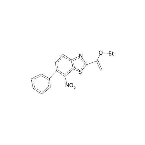 C=C(OCC)c1nc2ccc(-c3ccccc3)c([N+](=O)[O-])c2s1